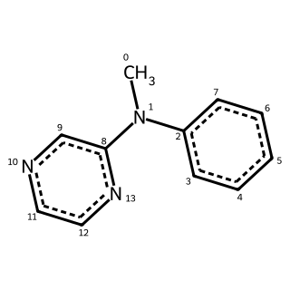 CN(c1ccccc1)c1cnccn1